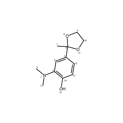 CN(C)c1cc(C2(C)OCCO2)ccc1O